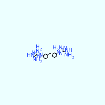 Nc1n[nH]c(N)c1/N=N/c1cccc(Cc2cccc(/N=N/c3c(N)n[nH]c3N)c2)c1